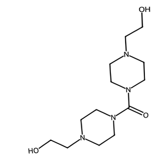 O=C(N1CCN(CCO)CC1)N1CCN(CCO)CC1